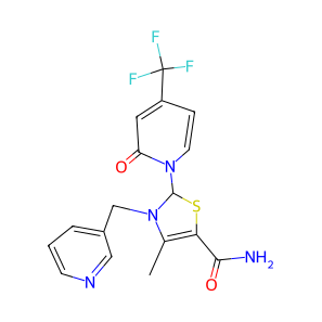 CC1=C(C(N)=O)SC(n2ccc(C(F)(F)F)cc2=O)N1Cc1cccnc1